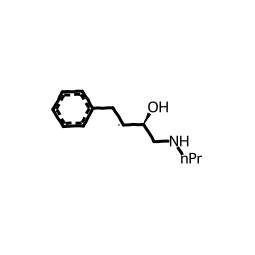 CCCNC[C@H](O)[CH]Cc1ccccc1